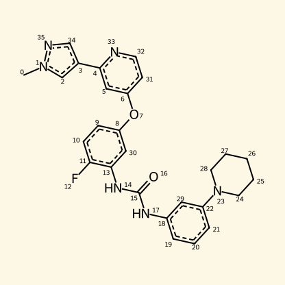 Cn1cc(-c2cc(Oc3ccc(F)c(NC(=O)Nc4cccc(N5CCCCC5)c4)c3)ccn2)cn1